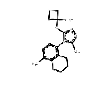 Cc1ccc(-n2c(SC3(C(=O)O)CCC3)nnc2C(F)(F)F)c2c1CCCC2